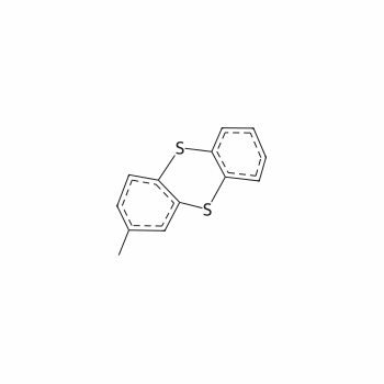 Cc1ccc2c(c1)Sc1ccccc1S2